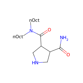 CCCCCCCCN(CCCCCCCC)C(=O)C1CNCC1C(N)=O